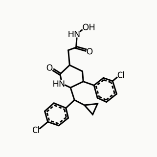 O=C(CC1CC(c2cccc(Cl)c2)C(C(c2ccc(Cl)cc2)C2CC2)NC1=O)NO